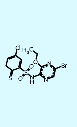 CCOc1nc(Br)cnc1NS(=O)(=O)C1=CC(Cl)=CCC1=S